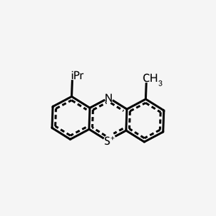 Cc1cccc2[s+]c3cccc(C(C)C)c3nc12